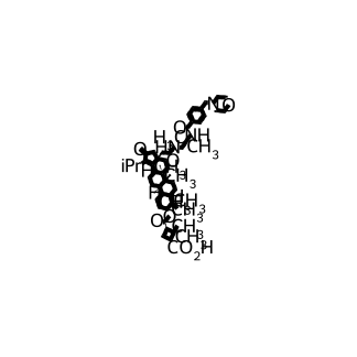 CC(C)C1=C2[C@H]3CC[C@@H]4[C@@]5(C)CC[C@H](OC(=O)[C@H]6C[C@@H](C(=O)O)C6(C)C)C(C)(C)[C@@H]5CC[C@@]4(C)[C@]3(C)CC[C@@]2(CC(=O)NCC(C)(C)NC(=O)c2ccc(CN3CCOCC3)cc2)CC1=O